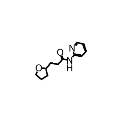 O=C(CCC1CCCO1)Nc1ccccn1